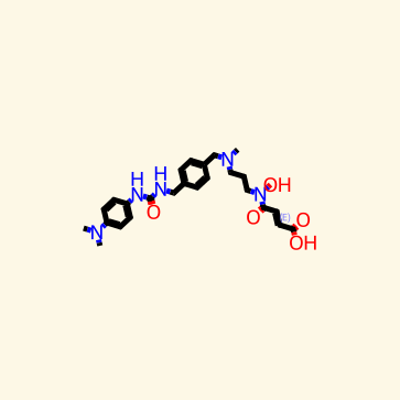 CN(CCCN(O)C(=O)/C=C/C(=O)O)Cc1ccc(CNC(=O)Nc2ccc(N(C)C)cc2)cc1